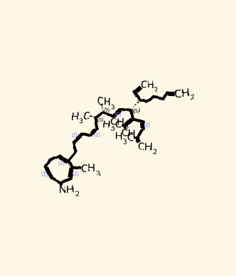 C=CCCCC(C=C)[C@@H](/C=C(\C)[C@@H](C)[C@@H](C)/C=C\C=C/CC1=C/C/C=C\C(N)/C=C\1C)C(/C=C\C(=C)C)=C(C)C